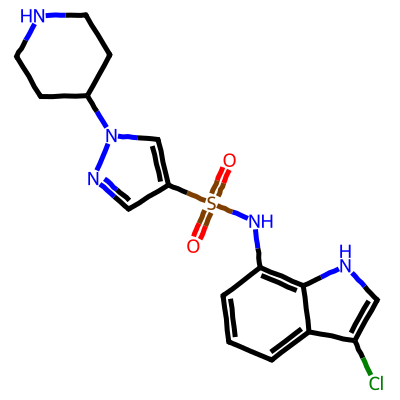 O=S(=O)(Nc1cccc2c(Cl)c[nH]c12)c1cnn(C2CCNCC2)c1